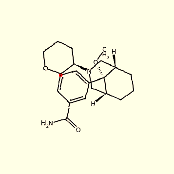 CO[C@@]1(c2cccc(C(N)=O)c2)[C@@H]2CCC[C@H]1CN([C@@H]1CCCOC1)C2